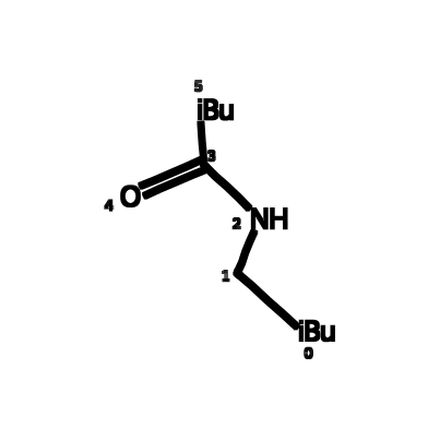 CCC(C)CNC(=O)C(C)CC